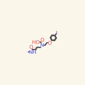 CNC(=O)/C=C/CN(CCOc1ccc(I)cc1)C(=O)O